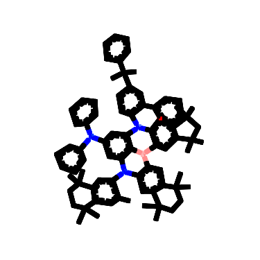 Cc1cc2c(cc1N1c3cc4c(cc3B3c5cc6c(cc5N(c5ccc(C(C)(C)c7ccccc7)cc5-c5ccccc5)c5cc(N(c7ccccc7)c7ccccc7)cc1c53)C(C)(C)CC6(C)C)C(C)(C)CCC4(C)C)C(C)(C)CCC2(C)C